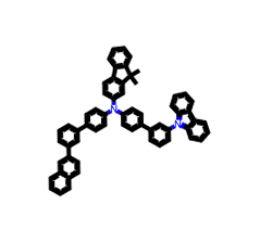 CC1(C)c2ccccc2-c2ccc(N(c3ccc(-c4cccc(-c5ccc6ccccc6c5)c4)cc3)c3ccc(-c4cccc(-n5c6ccccc6c6ccccc65)c4)cc3)cc21